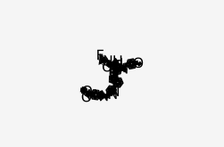 COc1ccc(CN(C)c2cc(N3CCc4c(-c5ccc(CN6CC7(CCN(C(=O)OC(C)(C)C)CC7)C6)nn5)cccc43)nn3c(C(=O)N[C@@H]4C[C@@H]4F)cnc23)cc1